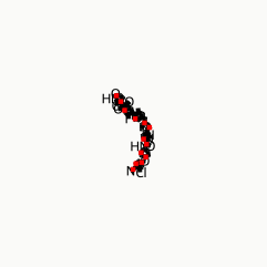 CC1CN(CC2CCN(c3ccc(C(=O)N[C@H]4CC[C@H](Oc5ccc(C#N)c(Cl)c5)CC4)nn3)CC2)CC(C)N1c1cc2c(cc1F)C(=O)N(C1CCC(=O)NC1=O)C2=O